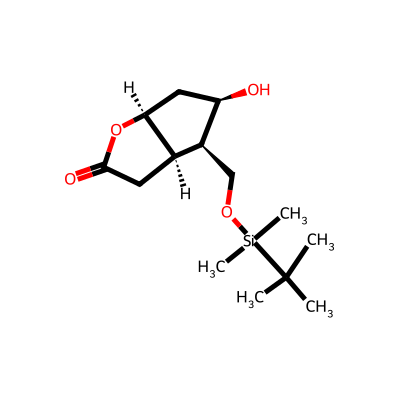 CC(C)(C)[Si](C)(C)OC[C@H]1[C@H]2CC(=O)O[C@H]2C[C@H]1O